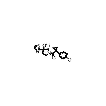 O=C(N1CCC(O)(c2nccs2)C1)C1(c2ccc(Cl)cc2)CC1